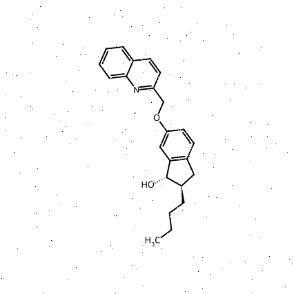 CCCC[C@@H]1Cc2ccc(OCc3ccc4ccccc4n3)cc2[C@H]1O